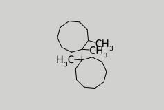 CC1CCCCCCCC1(C)C1(C)CCCCCCCC1